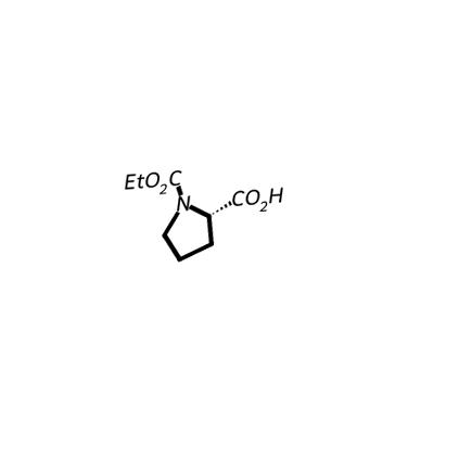 CCOC(=O)N1CCC[C@H]1C(=O)O